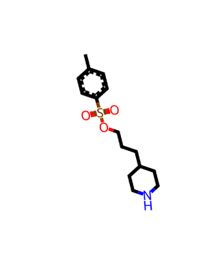 Cc1ccc(S(=O)(=O)OCCCC2CCNCC2)cc1